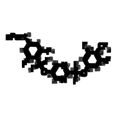 CCCCCc1cc(F)c(C(F)(F)Oc2cnc(C(F)(F)Oc3cc(F)c(C(F)(F)F)c(F)c3)nc2)c(F)c1